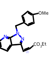 CCOC(=O)/C=C\c1nn(Cc2ccc(OC)cc2)c2ncccc12